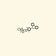 CCC1(OC(=O)COc2c(C)cc(C3Cc4ccccc4-c4ccccc43)cc2C)CCCC1